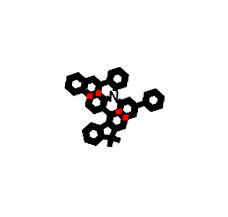 CC1(C)c2ccccc2-c2c(-c3ccccc3N(c3cccc(-c4ccccc4)c3)c3ccccc3-c3ccc4ccccc4c3)cccc21